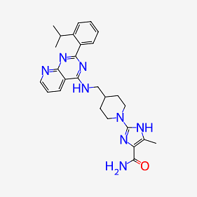 Cc1[nH]c(N2CCC(CNc3nc(-c4ccccc4C(C)C)nc4ncccc34)CC2)nc1C(N)=O